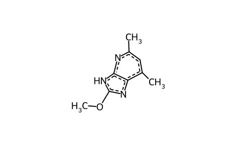 COc1nc2c(C)cc(C)nc2[nH]1